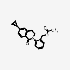 CC(=O)OCc1ccccc1N1CCc2cc(C3CC3)ccc2C1=O